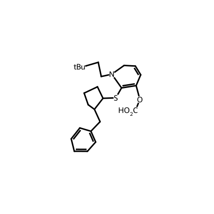 CC(C)(C)CCN1CC=CC(OC(=O)O)=C1SC1CCCC1Cc1ccccc1